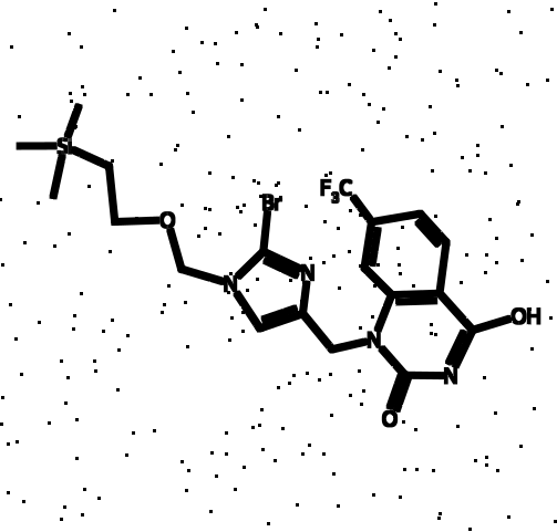 C[Si](C)(C)CCOCn1cc(Cn2c(=O)nc(O)c3ccc(C(F)(F)F)cc32)nc1Br